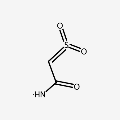 [NH]C(=O)C=S(=O)=O